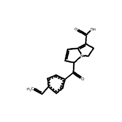 C=Cc1ccc(C(=O)C2C=CC3=C(C(=O)O)CCN32)cc1